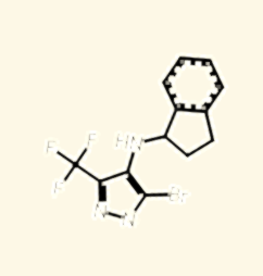 FC(F)(F)C1=N[N]C(Br)=C1NC1CCc2ccccc21